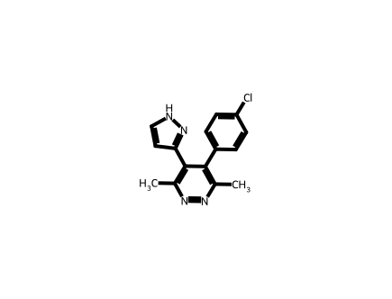 Cc1nnc(C)c(-c2cc[nH]n2)c1-c1ccc(Cl)cc1